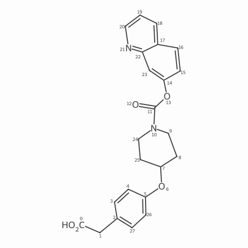 O=C(O)Cc1ccc(OC2CCN(C(=O)Oc3ccc4cccnc4c3)CC2)cc1